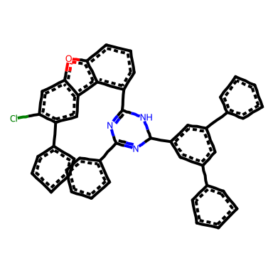 Clc1cc2oc3cccc(C4=NC(c5ccccc5)=NC(c5cc(-c6ccccc6)cc(-c6ccccc6)c5)N4)c3c2cc1-c1ccccc1